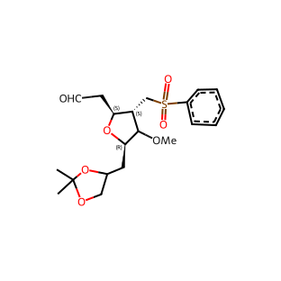 COC1[C@@H](CS(=O)(=O)c2ccccc2)[C@H](CC=O)O[C@@H]1CC1COC(C)(C)O1